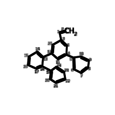 C=Cc1cc(-c2ccccc2)cc(-c2ccccc2-c2ccccc2)c1